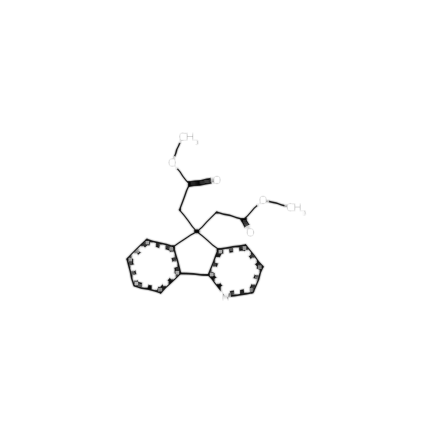 COC(=O)CC1(CC(=O)OC)c2ccccc2-c2ncccc21